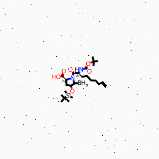 BC1C(O[Si](C)(C)C(C)(C)C)C[C@@H](C(=O)O)N1C(=O)[C@H](CCCCCC=C)NC(=O)OC(C)(C)C